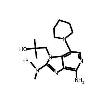 CCCN(C)c1nc2c(N)ncc(N3CCCCC3)c2n1CC(C)(C)O